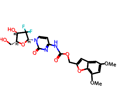 COc1cc(OC)c2oc(COC(=O)Nc3ccn([C@@H]4O[C@H](CO)[C@@H](O)C4(F)F)c(=O)n3)cc2c1